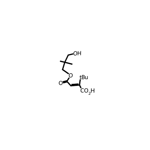 CC(C)(CO)COC(=O)C=C(C(=O)O)C(C)(C)C